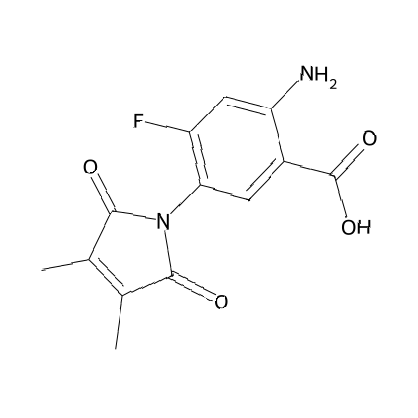 CC1=C(C)C(=O)N(c2cc(C(=O)O)c(N)cc2F)C1=O